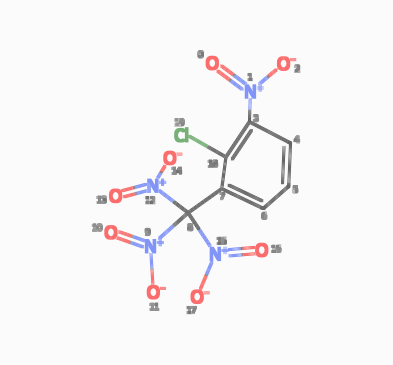 O=[N+]([O-])c1cccc(C([N+](=O)[O-])([N+](=O)[O-])[N+](=O)[O-])c1Cl